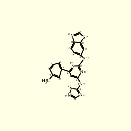 Cc1cccc(-c2cc(Nc3ncns3)nc(Sc3ccc4ncsc4c3)n2)c1